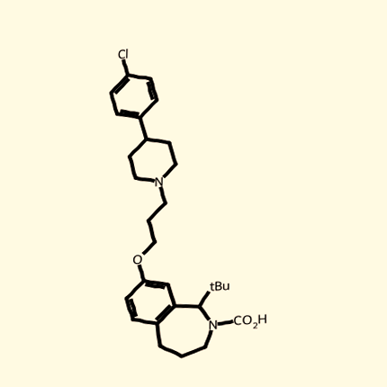 CC(C)(C)C1c2cc(OCCCN3CCC(c4ccc(Cl)cc4)CC3)ccc2CCCN1C(=O)O